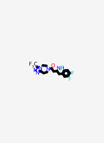 N[C@@H](CC(=O)N1CCc2nnc(C(F)(F)F)n2CC1)Cc1cc(F)c(F)cc1F